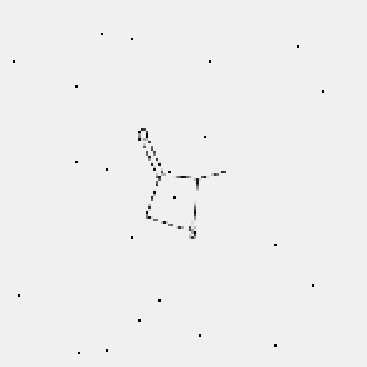 CC1SCC1=O